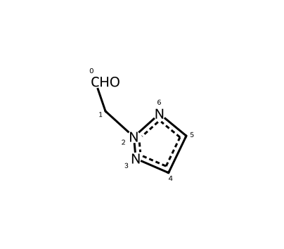 O=CCn1nccn1